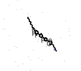 C/C=C/CCC1COC(c2ccc(-c3ccc(-c4ccc(OCCCCCCCCC)c(F)c4F)cc3)c(F)c2)OC1